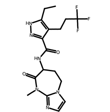 CCc1[nH]nc(C(=O)NC2CCn3ccnc3N(C)C2=O)c1CCC(F)(F)F